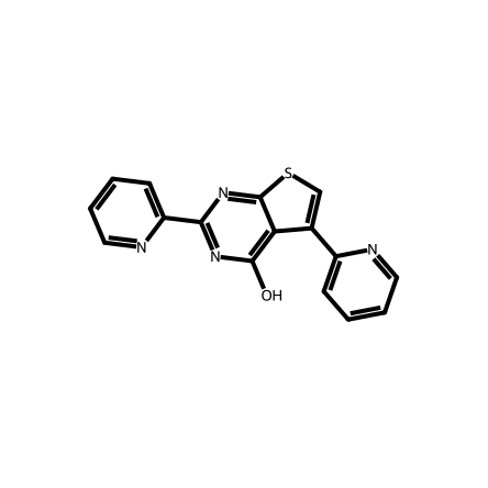 Oc1nc(-c2ccccn2)nc2scc(-c3ccccn3)c12